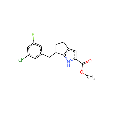 COC(=O)c1cc2c([nH]1)C(Cc1cc(F)cc(Cl)c1)CC2